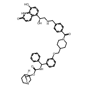 O=C(NC(c1ccccc1)c1cccc(OCC2CCN(C(=O)c3ccc(CNC[C@@H](O)c4ccc(O)c5[nH]c(=O)ccc45)cc3)CC2)c1)O[C@H]1CN2CCC1CC2